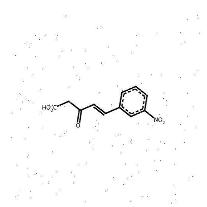 O=C(O)CC(=O)C=Cc1cccc([N+](=O)[O-])c1